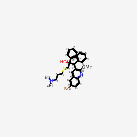 CCN(CC)CCCSCC(O)(c1ccccc1)C(c1ccccc1)c1cc2cc(Br)ccc2nc1OC